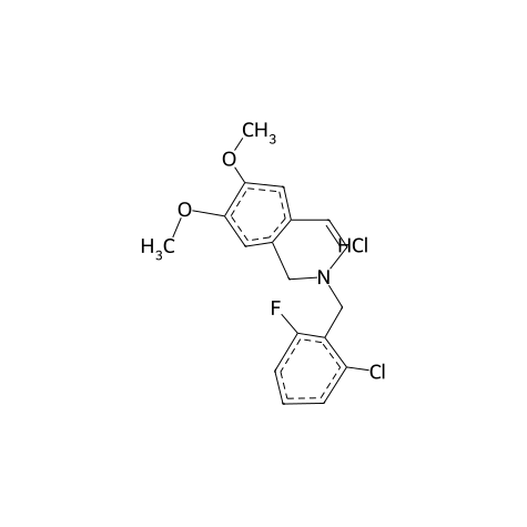 COc1cc2c(cc1OC)CN(Cc1c(F)cccc1Cl)C=C2.Cl